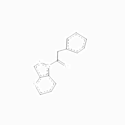 O=C(Cc1ccccc1)n1ncc2ncccc21